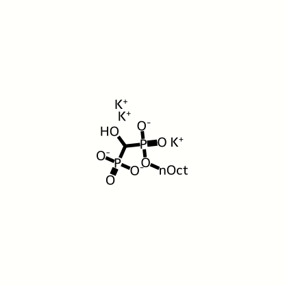 CCCCCCCCOP(=O)([O-])C(O)P(=O)([O-])[O-].[K+].[K+].[K+]